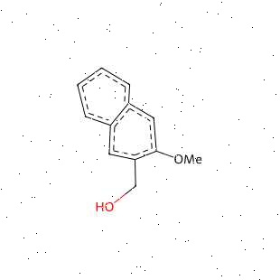 COc1cc2ccccc2cc1CO